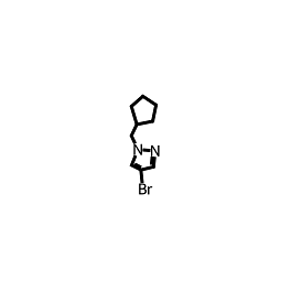 Brc1cnn(CC2CCCC2)c1